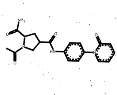 CC(=O)N1CC(C(=O)Nc2ccc(-n3ccccc3=O)cc2)[CH]C1C(N)=O